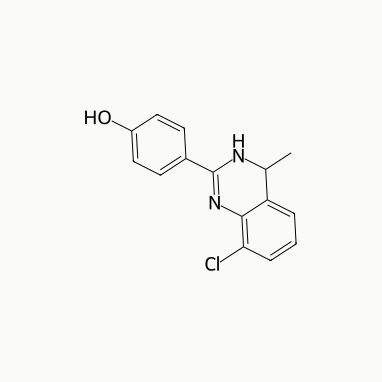 CC1NC(c2ccc(O)cc2)=Nc2c(Cl)cccc21